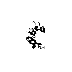 C=C(N)c1cc2c(Oc3ccc(Nc4c(Nc5cccnc5)c(=O)c4=O)c(Cl)c3)ccnc2cc1CC